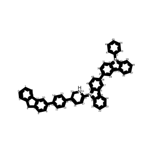 c1ccc2c(c#1)Cc1ccc(-c3ccc(C4=CC=C(n5c6ccccc6c6cc(-c7ccc8c(c7)c7ccccc7n8-c7ccccc7)ccc65)NC4)cc3)cc1-2